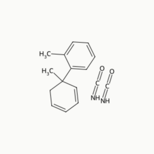 Cc1ccccc1C1(C)C=CC=CC1.N=C=O.N=C=O